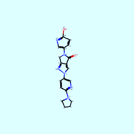 O=C1c2cn(-c3ccc(N4CCCC4)nc3)nc2CN1c1ccc(O)nc1